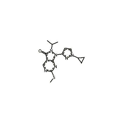 CSc1ncc2c(=O)n(C(C)C)n(-c3ccn(C4CC4)n3)c2n1